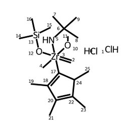 Cl.Cl.[CH2]=[Zr]([CH3])([NH]C(C)(C)C)([O]C)([O][Si](C)(C)C)[C]1=C(C)C(C)=C(C)C1C